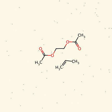 C=CC.CC(=O)OCCOC(C)=O